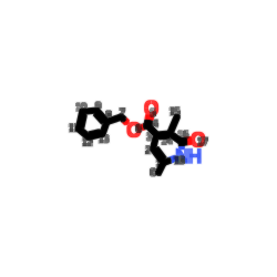 Cc1cc(C(=O)OCc2ccccc2)c(C)c(=O)[nH]1